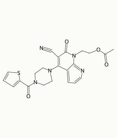 CC(=O)OCCn1c(=O)c(C#N)c(N2CCN(C(=O)c3cccs3)CC2)c2cccnc21